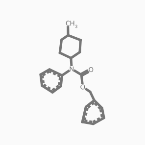 CC1CCC(N(C(=O)OCc2ccccc2)c2ccccc2)CC1